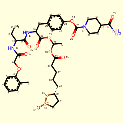 Cc1ccccc1OCC(=O)NC(CC(C)C)C(=O)NC(Cc1ccc(OC(=O)N2CCC(C(N)=O)CC2)cc1)C(=O)OC(C)OC(=O)CCCC[C@@H]1CC[S+]([O-])S1